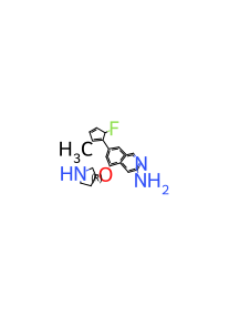 CC1=C(c2cc(O[C@@H]3CCNC3)c3cc(N)ncc3c2)C(F)C=C1